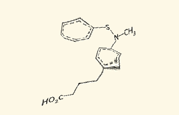 CN(Sc1ccccc1)c1ccc(CCCC(=O)O)cc1